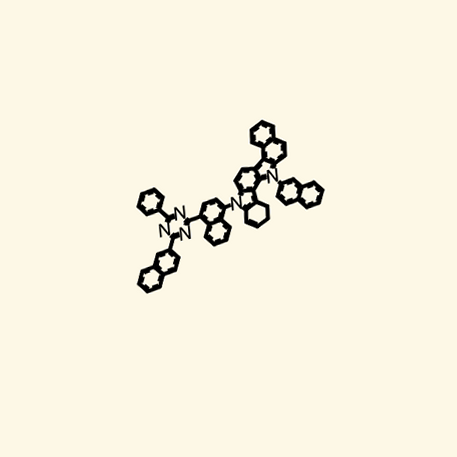 C1=Cc2c(c3c(ccc4c5c6ccccc6ccc5n(-c5ccc6ccccc6c5)c43)n2-c2ccc(-c3nc(-c4ccccc4)nc(-c4ccc5ccccc5c4)n3)c3ccccc23)CC1